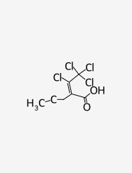 CCCC(C(=O)O)=C(Cl)C(Cl)(Cl)Cl